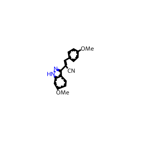 COc1ccc(/C=C(\C#N)c2n[nH]c3cc(OC)ccc23)cc1